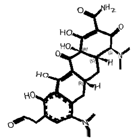 CN(C)c1cc(CC=O)c(O)c2c1C[C@H]1C[C@H]3[C@H](N(C)C)C(=O)C(C(N)=O)=C(O)[C@@]3(O)C(=O)C1=C2O